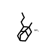 CCCC1C2CC3CC(C2)CC1(C)C3.N